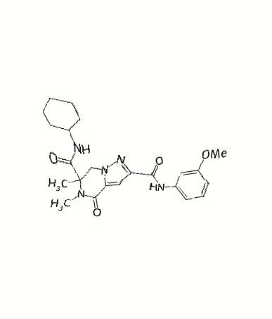 COc1cccc(NC(=O)c2cc3n(n2)CC(C)(C(=O)NC2CCCCC2)N(C)C3=O)c1